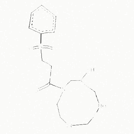 CC1CNCCNCCN(C(=O)CCS(=O)(=O)c2ccccc2)C1